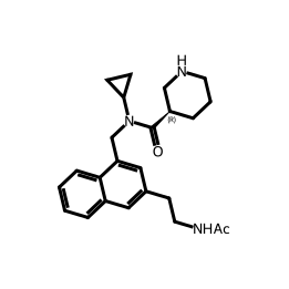 CC(=O)NCCc1cc(CN(C(=O)[C@@H]2CCCNC2)C2CC2)c2ccccc2c1